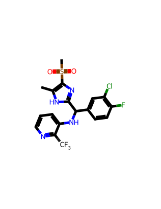 Cc1[nH]c(C(Nc2cccnc2C(F)(F)F)c2ccc(F)c(Cl)c2)nc1S(C)(=O)=O